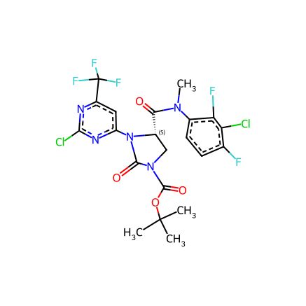 CN(C(=O)[C@@H]1CN(C(=O)OC(C)(C)C)C(=O)N1c1cc(C(F)(F)F)nc(Cl)n1)c1ccc(F)c(Cl)c1F